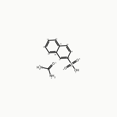 NC(N)=O.O=S(=O)(O)c1ccc2ccccc2c1